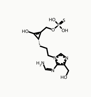 N/C=N\c1c(CO)ncn1CCC[C@@H]1C(O)=C1COP(O)(O)=S